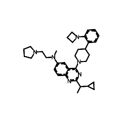 CC(c1nc(N2CCC(c3ccccc3N3CCC3)CC2)c2cc(N(C)CCN3CCCC3)ccc2n1)C1CC1